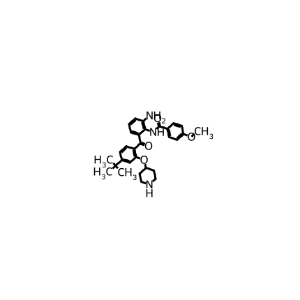 COc1ccc(C(=O)Nc2c(N)cccc2C(=O)c2ccc(C(C)(C)C)cc2OC2CCNCC2)cc1